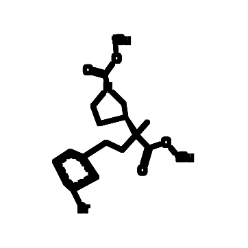 CC(C)(C)OC(=O)N1CC[C@H](C(C)(CCc2cccc(Br)c2)C(=O)OC(C)(C)C)C1